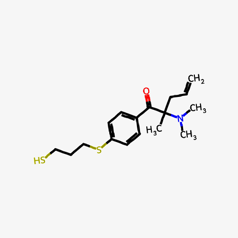 C=CCC(C)(C(=O)c1ccc(SCCCS)cc1)N(C)C